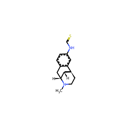 CN1CC[C@]23CCCC[C@H]2[C@H]1Cc1ccc(NC=S)cc13